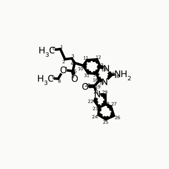 CCCCC(C(=O)OCC)c1ccc2nc(N)nc(C(=O)n3cc4ccccc4c3)c2c1